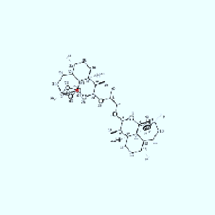 CC(COC1O[C@@H]2O[C@]3(C)CCC4[C@H](C)CC[C@@H]([C@H]1C)[C@]42OO3)OC1O[C@@H]2O[C@]3(C)CCC4[C@H](C)CC[C@@H]([C@H]1C)[C@]42OO3